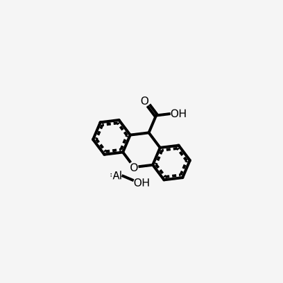 O=C(O)C1c2ccccc2Oc2ccccc21.[OH][Al]